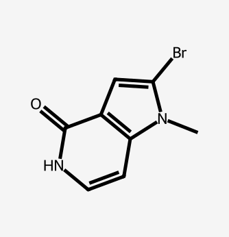 Cn1c(Br)cc2c(=O)[nH]ccc21